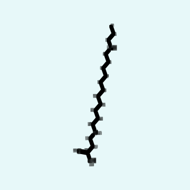 CCCNCCCCCCCCCCCOCCC(=O)O